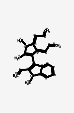 Bn1c(C)c(-c2c(C=C)n(B)c3ccccc23)c(=C/C=C)/c1=C\C=C